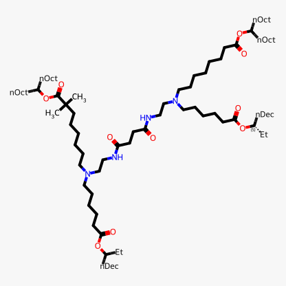 CCCCCCCCCCC(CC)OC(=O)CCCCCN(CCCCCCC(C)(C)C(=O)OC(CCCCCCCC)CCCCCCCC)CCNC(=O)CCC(=O)NCCN(CCCCCCCC(=O)OC(CCCCCCCC)CCCCCCCC)CCCCCC(=O)O[C@@H](CC)CCCCCCCCCC